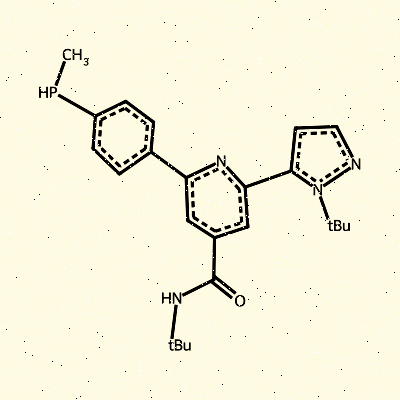 CPc1ccc(-c2cc(C(=O)NC(C)(C)C)cc(-c3ccnn3C(C)(C)C)n2)cc1